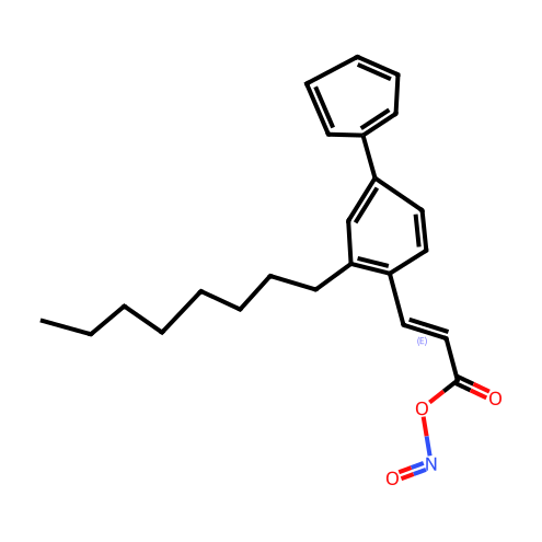 CCCCCCCCc1cc(-c2ccccc2)ccc1/C=C/C(=O)ON=O